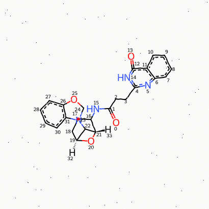 O=C(CCc1nc2ccccc2c(=O)[nH]1)NC1CC[C@@H]2O[C@@H]1C2N1COc2ccccc21